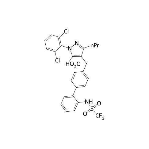 CCCc1nn(-c2c(Cl)cccc2Cl)c(C(=O)O)c1Cc1ccc(-c2ccccc2NS(=O)(=O)C(F)(F)F)cc1